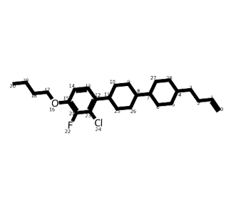 C=CCCC1CCC(C2CCC(c3ccc(OCCCC)c(F)c3Cl)CC2)CC1